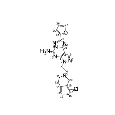 Nc1nc2c(cnn2CCN2CCc3cccc(Cl)c3C2)c2nc(-c3ccco3)nn12